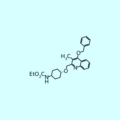 CCOC(=O)N[C@H]1CC[C@H](OCc2nc3ccccc3c(OCc3ccccc3)c2C)CC1